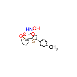 Cc1ccc(-c2ccc([C@@]3(CC(=O)NO)CCCCS3(=O)=O)s2)cc1